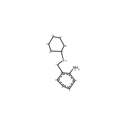 Nc1ccccc1CSC1CCCCC1